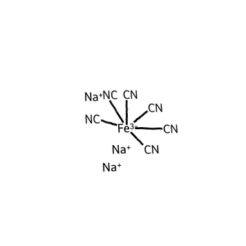 N#[C][Fe-3]([C]#N)([C]#N)([C]#N)([C]#N)[C]#N.[Na+].[Na+].[Na+]